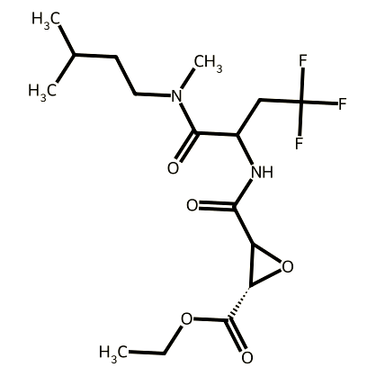 CCOC(=O)[C@H]1OC1C(=O)NC(CC(F)(F)F)C(=O)N(C)CCC(C)C